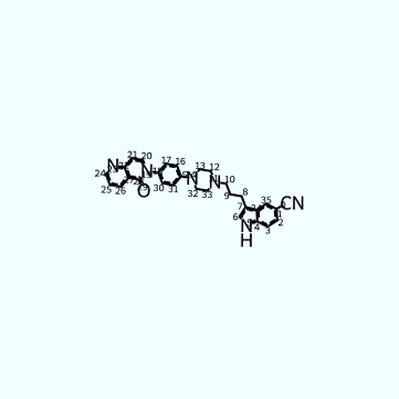 N#Cc1ccc2[nH]cc(CCCN3CCN(c4ccc(-n5ccc6ncccc6c5=O)cc4)CC3)c2c1